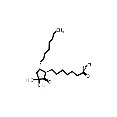 CCCCCCCC[C@H]1CC(C)(C)C(=O)[C@@H]1CCCCCCC(=O)OCl